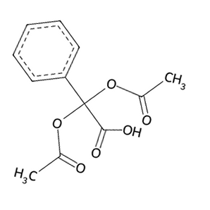 CC(=O)OC(OC(C)=O)(C(=O)O)c1ccccc1